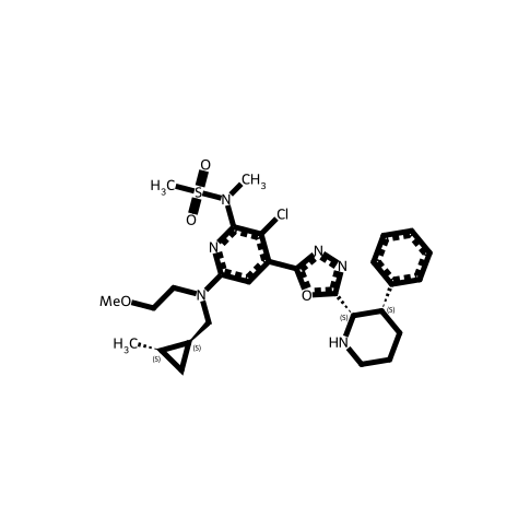 COCCN(C[C@H]1C[C@@H]1C)c1cc(-c2nnc([C@H]3NCCC[C@H]3c3ccccc3)o2)c(Cl)c(N(C)S(C)(=O)=O)n1